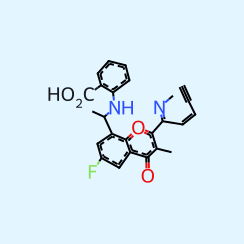 C#C/C=C\C(=N/C)c1oc2c(C(C)Nc3ccccc3C(=O)O)cc(F)cc2c(=O)c1C